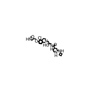 O=C(NC[C@H](O)CN1CCc2c(ccc(OCC3CNCO3)c2Cl)C1)C1CCNC(NC2CCC2)C1